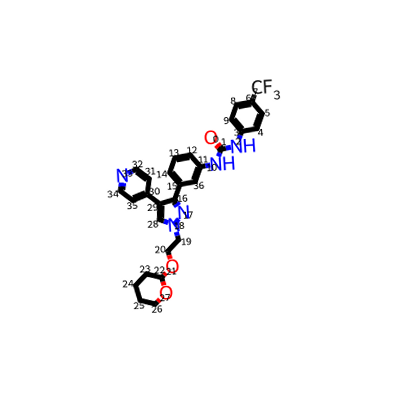 O=C(Nc1ccc(C(F)(F)F)cc1)Nc1cccc(-c2nn(CCOC3CCCCO3)cc2-c2ccncc2)c1